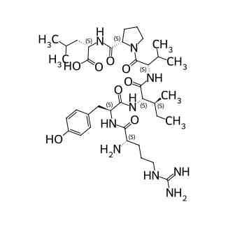 CC[C@H](C)[C@H](NC(=O)[C@H](Cc1ccc(O)cc1)NC(=O)[C@@H](N)CCCNC(=N)N)C(=O)N[C@H](C(=O)N1CCC[C@H]1C(=O)N[C@@H](CC(C)C)C(=O)O)C(C)C